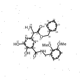 COc1cccc(CNC(=O)c2nc(C(N)C(=O)OCc3ccccc3)nc(O)c2O)c1OC